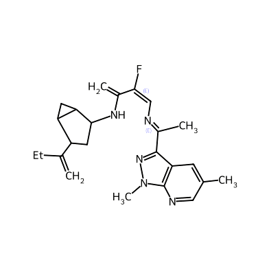 C=C(NC1CC(C(=C)CC)C2CC12)/C(F)=C\N=C(/C)c1nn(C)c2ncc(C)cc12